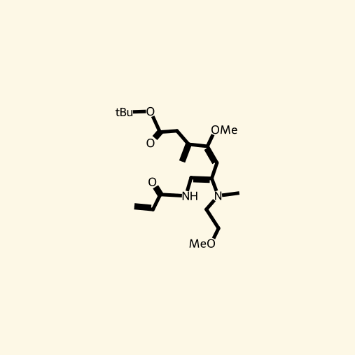 C=CC(=O)N/C=C(/C=C(/OC)C(=C)CC(=O)OC(C)(C)C)N(C)CCOC